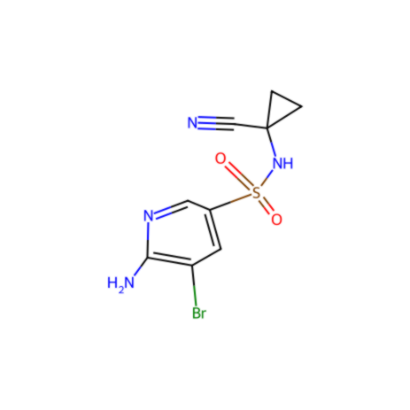 N#CC1(NS(=O)(=O)c2cnc(N)c(Br)c2)CC1